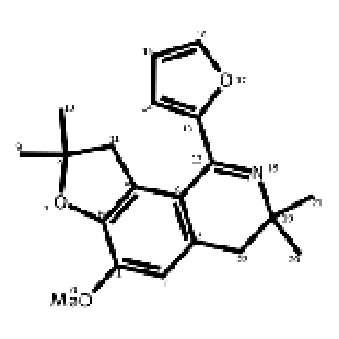 COc1cc2c(c3c1OC(C)(C)C3)C(c1ccco1)=NC(C)(C)C2